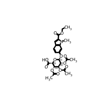 CCOC(=O)c1cc2ccc(O[C@@H]3O[C@H](C(=O)O)[C@@H](OC(C)=O)[C@H](OC(C)=O)[C@H]3OC(C)=O)cc2n1C